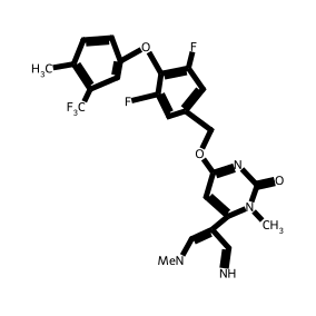 CN/C=C(\C=N)c1cc(OCc2cc(F)c(Oc3ccc(C)c(C(F)(F)F)c3)c(F)c2)nc(=O)n1C